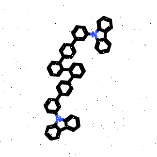 c1cc(-c2ccc(-c3ccccc3-c3ccccc3-c3ccc(-c4cccc(-n5c6ccccc6c6ccccc65)c4)cc3)cc2)cc(-n2c3ccccc3c3ccccc32)c1